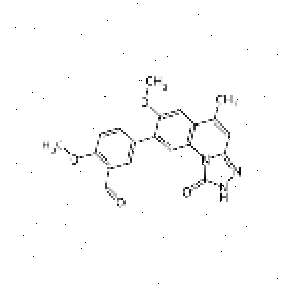 COc1ccc(-c2cc3c(cc2OC)c(C)cc2n[nH]c(=O)n23)cc1C=O